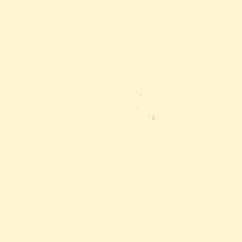 CCc1cccc(CC)c1NC(=O)N(Cc1ccc2c(c1)Cc1ccccc1-2)C1CCCCCC1